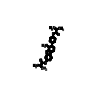 C=C(C)C(=O)Oc1ccc(-c2ccc3c(sc4cc(OC(=O)C(=C)C)ccc43)c2C)cc1